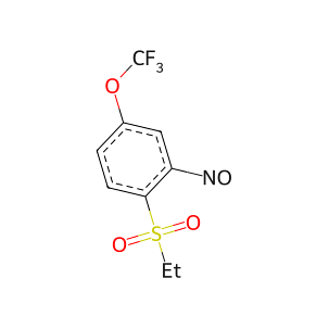 CCS(=O)(=O)c1ccc(OC(F)(F)F)cc1N=O